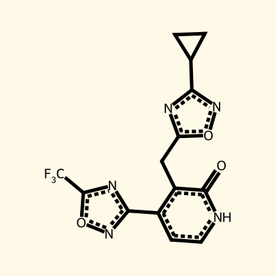 O=c1[nH]ccc(-c2noc(C(F)(F)F)n2)c1Cc1nc(C2CC2)no1